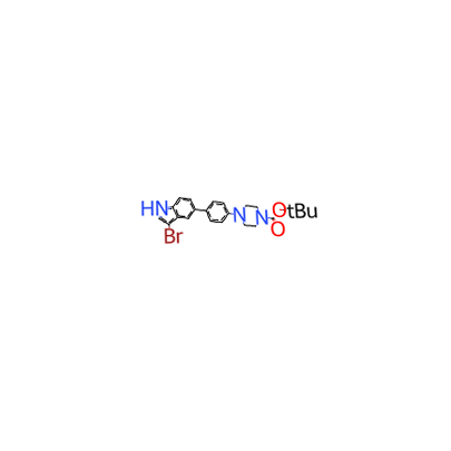 CC(C)(C)OC(=O)N1CCN(c2ccc(-c3ccc4[nH]cc(Br)c4c3)cc2)CC1